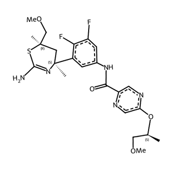 COC[C@H](C)Oc1cnc(C(=O)Nc2cc(F)c(F)c([C@]3(C)C[C@](C)(COC)SC(N)=N3)c2)cn1